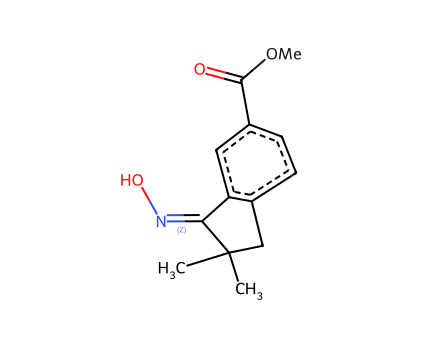 COC(=O)c1ccc2c(c1)/C(=N\O)C(C)(C)C2